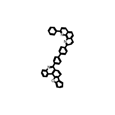 c1ccc(-c2ccc3ccc4ccc(-c5ccc(-c6ccc(-c7nc8ccccc8c8c7ccc7c9ccccc9oc78)cc6)cc5)nc4c3n2)cc1